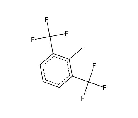 Cc1c(C(F)(F)F)[c]c[c]c1C(F)(F)F